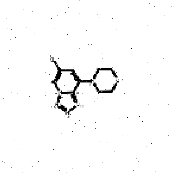 Clc1cc(N2CCOCC2)c2nnnn2c1